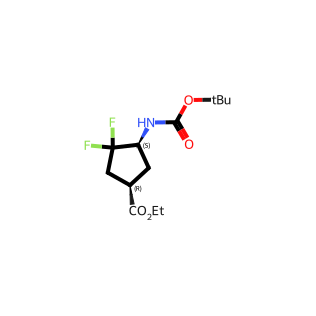 CCOC(=O)[C@@H]1C[C@H](NC(=O)OC(C)(C)C)C(F)(F)C1